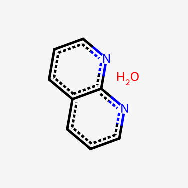 O.c1cnc2ncccc2c1